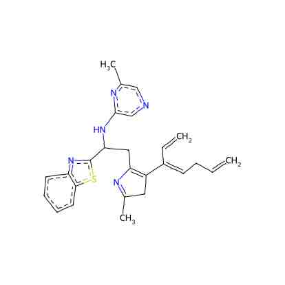 C=CC/C=C(\C=C)C1=C(CC(Nc2cncc(C)n2)c2nc3ccccc3s2)N=C(C)C1